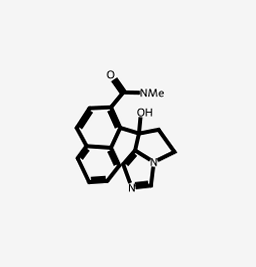 CNC(=O)c1ccc2ccccc2c1C1(O)CCn2cncc21